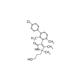 CC1=C(c2c(C)ccc(-c3ccc(Cl)cc3)c2C)C(=O)NC1(C)CCCO